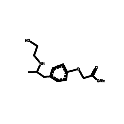 COC(=O)COc1ccc(CC(C)NCCO)cc1